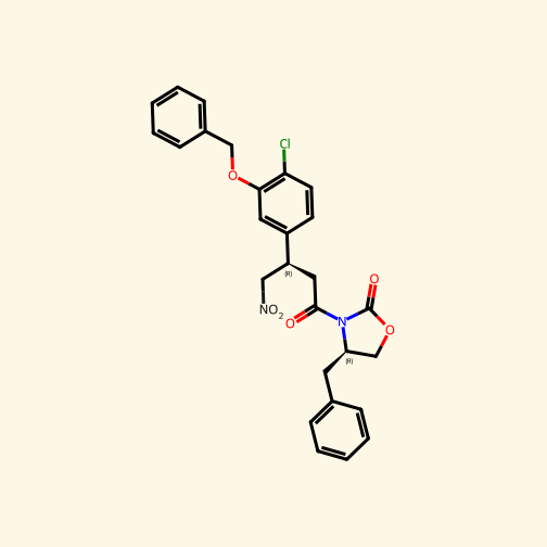 O=C(C[C@@H](C[N+](=O)[O-])c1ccc(Cl)c(OCc2ccccc2)c1)N1C(=O)OC[C@H]1Cc1ccccc1